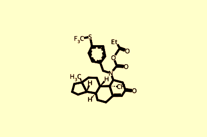 CCC(=O)OC(=O)N(Cc1ccc(SC(F)(F)F)cc1)C1CC(=O)C=C2CC[C@H]3[C@@H]4CCC[C@@]4(C)CC[C@@H]3[C@]21C